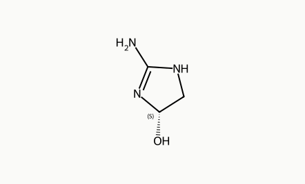 NC1=N[C@@H](O)CN1